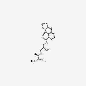 C=C(C)C(=O)OCC(O)COC(=O)c1cccc2sc3ccccc3c(=O)c12